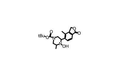 Cc1c(C2CN(C(=O)OC(C)(C)C)CC(C)N2O)ccc2c1COC2=O